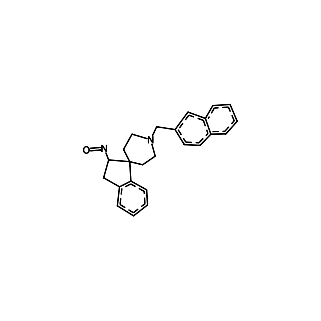 O=NC1Cc2ccccc2C12CCN(Cc1ccc3ccccc3c1)CC2